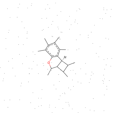 Cc1c(C)c(C)c2c(c1C)OC(C)C1C(C)C(C)[C@H]21